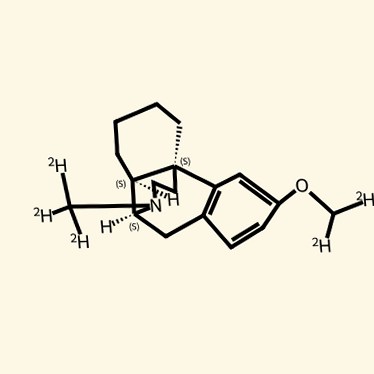 [2H]C([2H])Oc1ccc2c(c1)[C@]13CCCC[C@@H]1[C@H](C2)N(C([2H])([2H])[2H])CC3